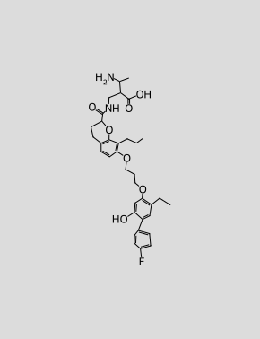 CCCc1c(OCCCOc2cc(O)c(-c3ccc(F)cc3)cc2CC)ccc2c1OC(C(=O)NCC(C(=O)O)C(C)N)CC2